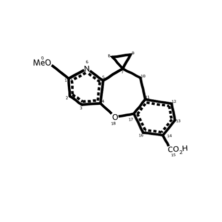 COc1ccc2c(n1)C1(CC1)Cc1ccc(C(=O)O)cc1O2